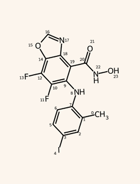 Cc1cc(I)ccc1Nc1c(F)c(F)c2ocnc2c1C(=O)NO